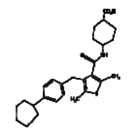 Cc1sc(C)c(C(=O)NC2CCC(C(=O)O)CC2)c1Cc1ccc(C2CCCCC2)cc1